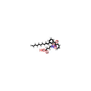 CCCCCCCCC=Cc1cccc(C(=O)C2(ONCCCC(=O)O)CCCCO2)c1